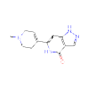 CN1CC=C(c2cc3[nH]ncc3c(=O)[nH]2)CC1